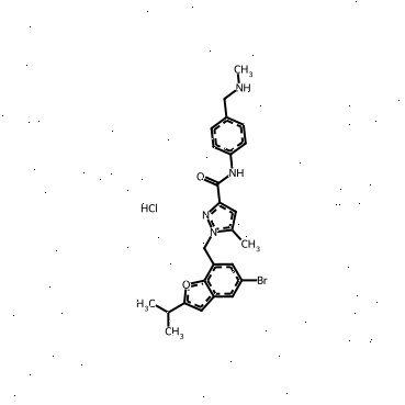 CNCc1ccc(NC(=O)c2cc(C)n(Cc3cc(Br)cc4cc(C(C)C)oc34)n2)cc1.Cl